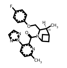 Cc1ccc(-n2nccn2)c(C(=O)N2C3CC(C3)[C@H](C)C2COc2ccc(F)cc2)n1